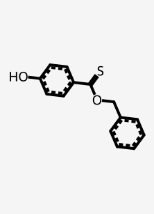 Oc1ccc(C(=S)OCc2ccccc2)cc1